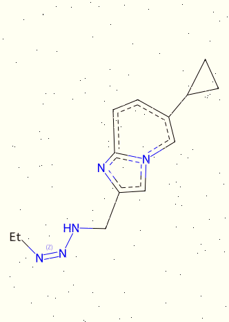 CC/N=N\NCc1cn2cc(C3CC3)ccc2n1